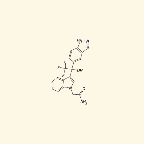 NC(=O)Cn1cc(C(O)(c2ccc3[nH]ncc3c2)C(F)(F)F)c2ccccc21